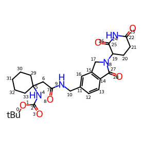 CC(C)(C)OC(=O)NC1(CC(=O)NCc2ccc3c(c2)CN(C2CCC(=O)NC2=O)C3=O)CCCCC1